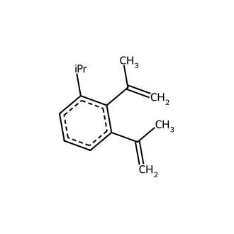 C=C(C)c1cccc(C(C)C)c1C(=C)C